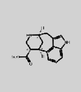 COC(=O)[C@H]1CN[C@H]2Cc3c[nH]c4cccc(c34)[C@@H]1C2